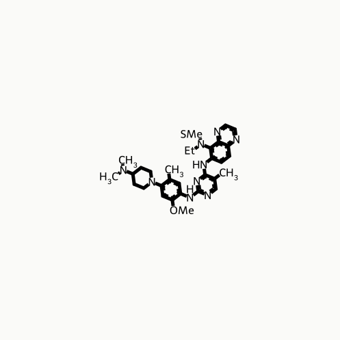 CCN(SC)c1c(Nc2nc(Nc3cc(C)c(N4CCC(N(C)C)CC4)cc3OC)ncc2C)ccc2nccnc12